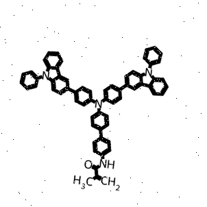 C=C(C)C(=O)Nc1ccc(-c2ccc(N(c3ccc(-c4ccc5c(c4)c4ccccc4n5-c4ccccc4)cc3)c3ccc(-c4ccc5c(c4)c4ccccc4n5-c4ccccc4)cc3)cc2)cc1